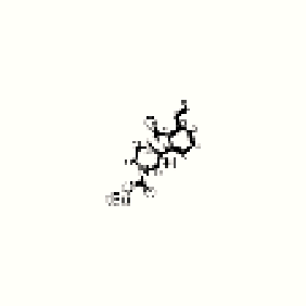 C=Cc1cccc2c1C(=O)N1CCN(C(=O)OC(C)(C)C)C[C@H]21